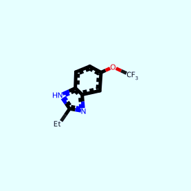 CCc1nc2cc(OC(F)(F)F)ccc2[nH]1